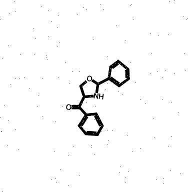 O=C(c1ccccc1)C1COC(c2ccccc2)N1